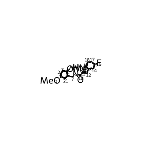 COc1ccc(OC)c(CNC(=O)c2cc3cc(F)ccc3[nH]2)c1